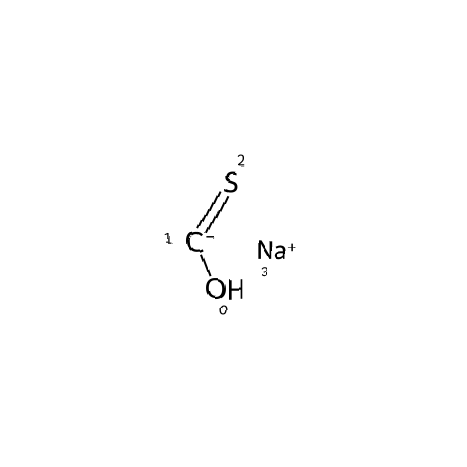 O[C-]=S.[Na+]